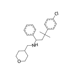 CC(C)(CC(NCC1CCOCC1)c1ccccc1)c1ccc(Cl)cc1